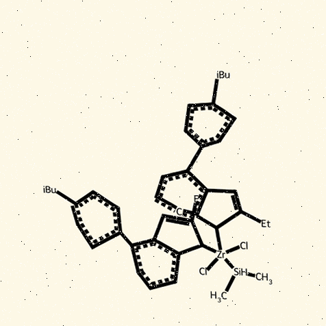 CCC1=Cc2c(-c3ccc(C(C)CC)cc3)cccc2[CH]1[Zr]([Cl])([Cl])([CH]1C(CC)=Cc2c(-c3ccc(C(C)CC)cc3)cccc21)[SiH](C)C